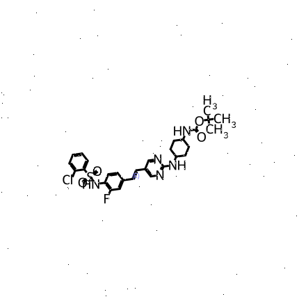 CC(C)(C)OC(=O)NC1CCC(Nc2ncc(/C=C/c3ccc(NS(=O)(=O)c4ccccc4Cl)c(F)c3)cn2)CC1